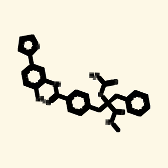 CNC(=O)[C@](Cc1ccccc1)(Cc1ccc(C(=O)Nc2cc(-c3cccs3)ccc2N)cc1)OC(N)=O